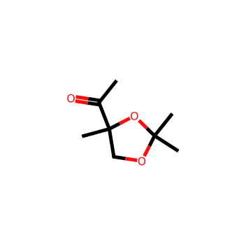 CC(=O)C1(C)COC(C)(C)O1